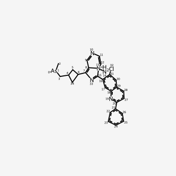 C[As](C)CC1CC(C2=C3C=NC=C[N+]3(N)C(c3cc4nc(-c5ccccc5)ccc4cc3Cl)=N2)C1